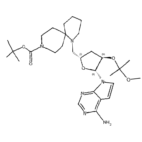 COC(C)(C)O[C@@H]1C[C@@H](CN2CCCCC23CCN(C(=O)OC(C)(C)C)CC3)O[C@H]1n1ccc2c(N)ncnc21